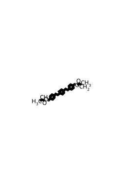 C=C(C)C(=O)OCc1ccc(CCc2ccc(CCc3ccc(COC(=O)C(=C)C)cc3)cc2)cc1